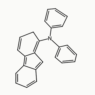 C1=CC2=c3ccccc3=CC2=C(N(c2ccccc2)c2ccccc2)C1